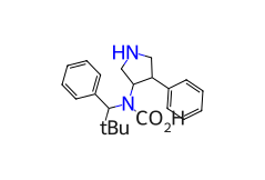 CC(C)(C)C(c1ccccc1)N(C(=O)O)C1CNCC1c1ccccc1